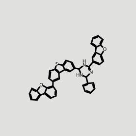 c1ccc(C2N=C(c3ccc4oc5ccccc5c4c3)NC(c3ccc4sc5ccc(-c6cccc7c6oc6ccccc67)cc5c4c3)N2)cc1